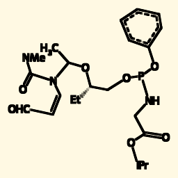 CC[C@@H](COP(NCC(=O)OC(C)C)Oc1ccccc1)OC(C)N(/C=C\C=O)C(=O)NC